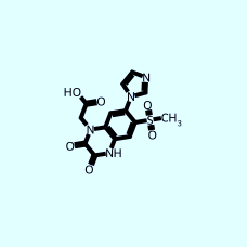 CS(=O)(=O)c1cc2[nH]c(=O)c(=O)n(CC(=O)O)c2cc1-n1ccnc1